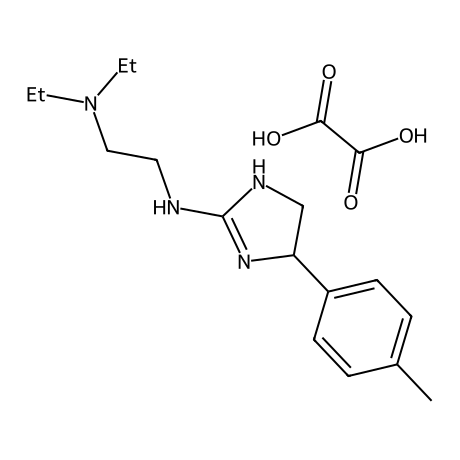 CCN(CC)CCNC1=NC(c2ccc(C)cc2)CN1.O=C(O)C(=O)O